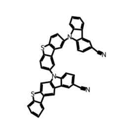 N#Cc1ccc2c(c1)c1ccccc1n2-c1ccc2sc3ccc(-n4c5ccc(C#N)cc5c5cc6c(cc54)sc4ccccc46)cc3c2c1